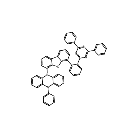 c1ccc(-c2nc(-c3ccccc3)nc(-c3ccccc3-c3cccc4c3oc3c(N5c6ccccc6N(c6ccccc6)c6ccccc65)cccc34)n2)cc1